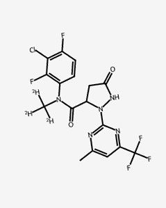 [2H]C([2H])([2H])N(C(=O)C1CC(=O)NN1c1nc(C)cc(C(F)(F)F)n1)c1ccc(F)c(Cl)c1F